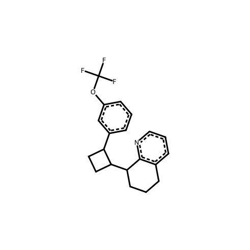 FC(F)(F)Oc1cccc([C]2CCC2C2CCCc3cccnc32)c1